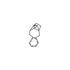 O=C1C2Cc3ccccc3CC13CCC2C3